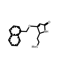 CSCCC1NC(=O)C=C1OCc1cccc2ccccc12